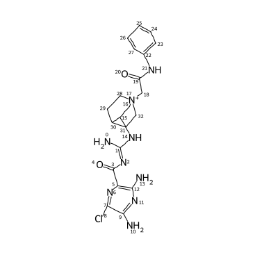 N/C(=N\C(=O)c1nc(Cl)c(N)nc1N)NC1C[N+]2(CC(=O)Nc3ccccc3)CCC1CC2